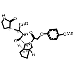 COc1ccc(OCC(=O)N2C[C@@H]3CCC[C@H]3[C@@H]2C(=O)N[C@H](C=O)C[C@@H]2CCNC2=O)cc1